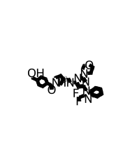 O=C(C1CCC(CO)CC1)N1CC[C@H](CNc2cc(-n3c(C(F)F)nc4ccccc43)nc(N3CCOCC3)n2)C1